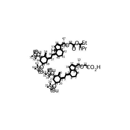 C=C1C(=CC=C2CCC[C@]3(C)C([C@H](C)OCC(=O)O)=CCC23)C[C@@H](O[Si](C)(C)C(C)(C)C)C[C@@H]1O[Si](C)(C)C(C)(C)C.C=C1C(=CC=C2CCC[C@]3(C)C([C@H](C)OCC(=O)OC(CC)CCC)=CC[C@@H]23)C[C@@H](O[Si](C)(C)C(C)(C)C)C[C@@H]1O[Si](C)(C)C(C)(C)C